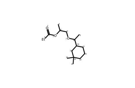 CCC(=O)OC(C)COC(C)C1CCCC(C)(C)C1